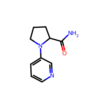 NC(=O)C1CCCN1c1cccnc1